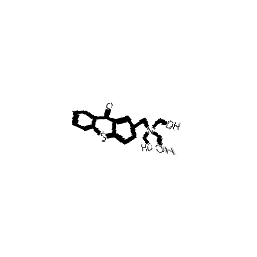 O=c1c2ccccc2sc2ccc(C[N+](CO)(CO)CO)cc12